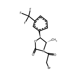 C[C@H]1[C@H](c2cccc(C(F)(F)F)c2)OC(=O)N1C(=O)CBr